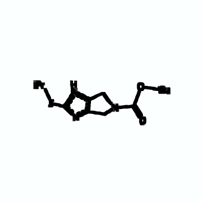 CC(C)Sc1nc2c([nH]1)CN(C(=O)OC(C)(C)C)C2